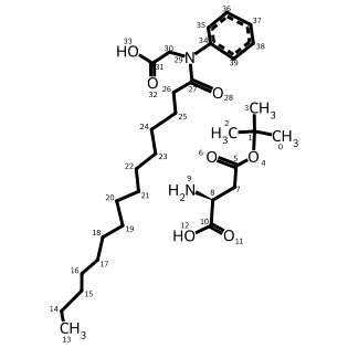 CC(C)(C)OC(=O)C[C@H](N)C(=O)O.CCCCCCCCCCCCCCC(=O)N(CC(=O)O)c1ccccc1